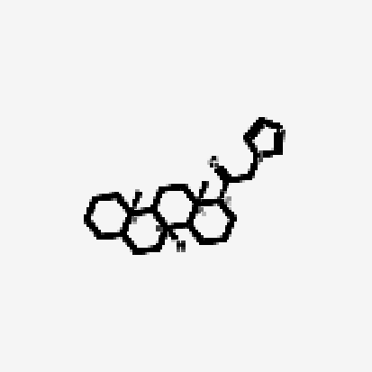 C[C@]12CCCCC1CC[C@@H]1C2CC[C@@]2(C)C1CCC[C@@H]2C(=O)Cn1ccnc1